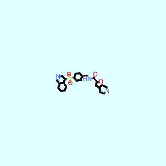 O=C(NCc1ccc(S(=O)(=O)c2cncc3ccccc23)cc1)c1cc2ccncc2o1